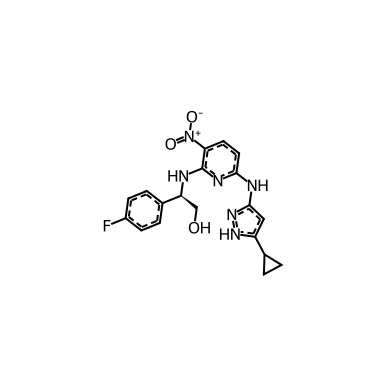 O=[N+]([O-])c1ccc(Nc2cc(C3CC3)[nH]n2)nc1N[C@@H](CO)c1ccc(F)cc1